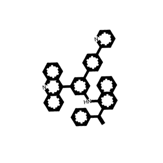 C=C(c1ccccc1)c1ccc2ccccc2c1Nc1cc(-c2ccc(-c3ccccn3)cc2)cc(-c2c3ccccc3nc3ccccc23)c1